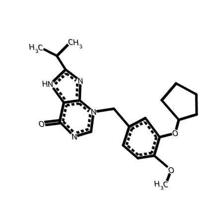 COc1ccc(Cn2cnc(=O)c3[nH]c(C(C)C)nc32)cc1OC1CCCC1